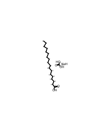 CCCCCCCCCCCCCCCCCC(=O)O.O=C(O)O.[NaH]